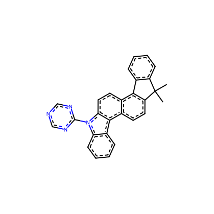 CC1(C)c2ccccc2-c2c1ccc1c2ccc2c1c1ccccc1n2-c1ncncn1